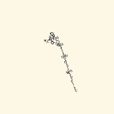 CCc1cccc(N(CC)C(=O)Cn2c(C(=O)N[C@H]3CC[C@H](C(=O)NCCCCCCNC(=O)OCCOCCOCCOC(=O)NCCOCCOCCCCCCCl)CC3)cc3ccccc32)c1